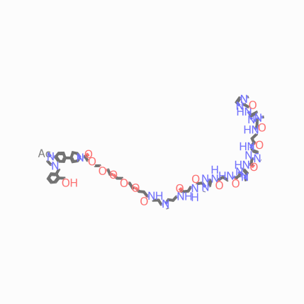 CC(=O)N1CCN(Cc2ccccc2CO)c2cc(C3=CCN(C(=O)COCCOCCOCCOCCOCCC(=O)NCCCN(C)CCCNC(=O)CCNC(=O)c4nc(NC(=O)CCNC(=O)c5nc(NC(=O)c6nc(NC(=O)CCNC(=O)c7nc(NC(=O)c8nccn8C)cn7C)cn6C)cn5C)cn4C)CC3)ccc21